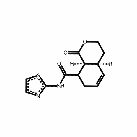 O=C(Nc1nccs1)C1CC=C[C@@H]2CCOC(=O)[C@H]12